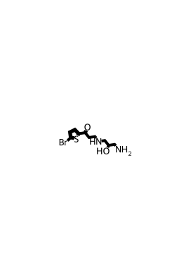 NCC(O)CNCCC(=O)c1ccc(Br)s1